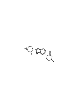 C[C@H]1CC[C@H](c2ccc3cn([C@H]4CCN(C)C[C@@H]4C)nc3c2)NC1